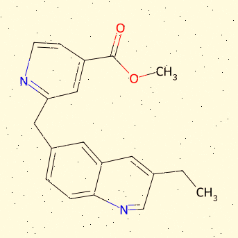 CCc1cnc2ccc(Cc3cc(C(=O)OC)ccn3)cc2c1